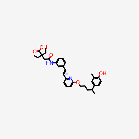 CCC(CC)(CC(=O)Nc1cccc(/C=C/c2cccc(OCCCC(C)c3ccc(O)c(C)c3)n2)c1)C(=O)O